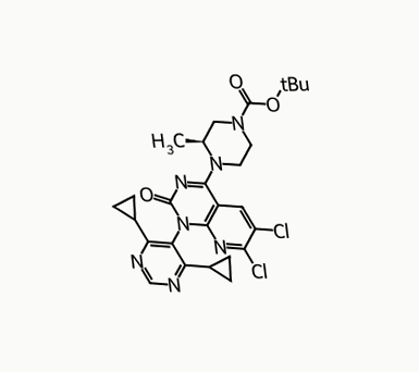 C[C@H]1CN(C(=O)OC(C)(C)C)CCN1c1nc(=O)n(-c2c(C3CC3)ncnc2C2CC2)c2nc(Cl)c(Cl)cc12